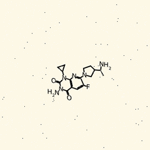 C[C@H](N)C1CCN(c2nc3c(cc2F)c(=O)n(N)c(=O)n3C2CC2)C1